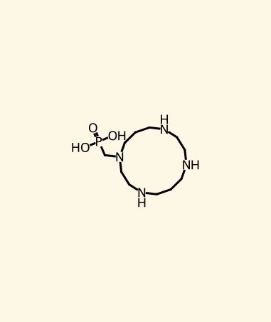 O=P(O)(O)CN1CCCNCCNCCCNCC1